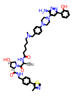 Cc1ncsc1-c1ccc(CNC(=O)[C@@H]2C[C@@H](O)CN2C(=O)C(NC(=O)CCCCCN(C)Cc2ccc(N3CCN(c4cc(-c5ccccc5O)nnc4N)CC3)cc2)C(C)(C)C)cc1